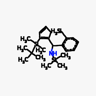 CC(C)(C)[Si](C)(C)C1=C(C(N[Si](C)(C)C)c2ccccc2[SiH3])CC=C1